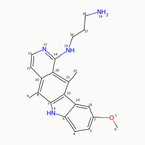 COc1ccc2[nH]c3c(C)c4ccnc(NCCCN)c4c(C)c3c2c1